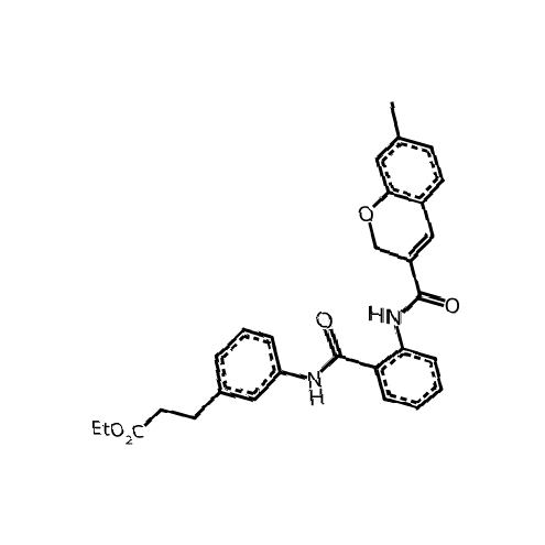 CCOC(=O)CCc1cccc(NC(=O)c2ccccc2NC(=O)C2=Cc3ccc(C)cc3OC2)c1